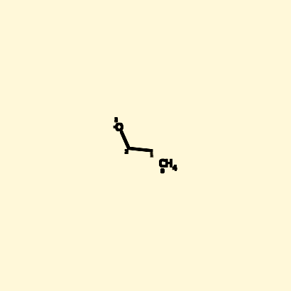 C.CC[O]